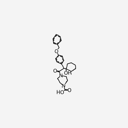 O=C(O)N1CCN(C(=O)C(c2ccc(OCc3ccccc3)cc2)C2(O)CCCCC2)CC1